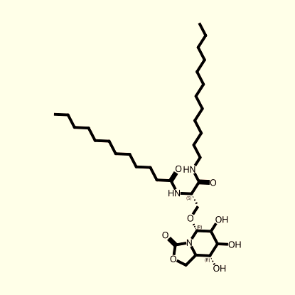 CCCCCCCCCCCCNC(=O)[C@H](CO[C@@H]1C(O)C(O)[C@H](O)C2COC(=O)N21)NC(=O)CCCCCCCCCCC